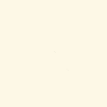 c1ccc(CN2CCC3(CC2)Cc2ccccc2CN3)cc1